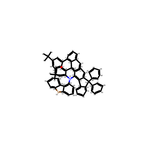 CC(C)(C)c1cc(-c2cccc3cccc(-c4ccccc4N(c4cccc5c4-c4ccccc4C5(c4ccccc4)c4ccccc4)c4cccc5sc6ccccc6c45)c23)cc(C(C)(C)C)c1